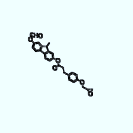 CC1c2cc(OC=O)ccc2-c2ccc(OC(=O)CCc3ccc(OCC4CO4)cc3)cc21